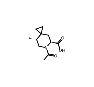 CC(=O)N1C[C@H](C)C2(CC2)C[C@H]1C(=O)O